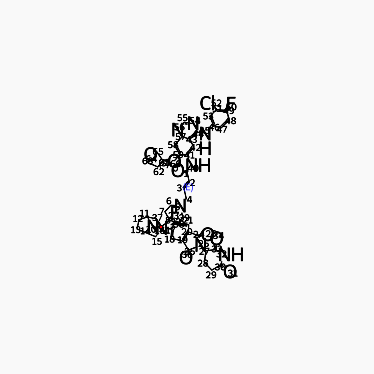 O=C(/C=C/CN1CCC(CN2C3CCC2CN(c2cc4c(cc2F)C(=O)N(C2CCC(=O)NC2=O)C4=O)C3)CC1)Nc1cc2c(Nc3ccc(F)c(Cl)c3)ncnc2cc1O[C@H]1CCOC1